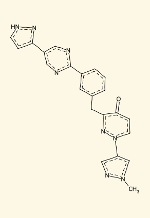 Cn1cc(-n2ccc(=O)c(Cc3cccc(-c4ncc(-c5cc[nH]n5)cn4)c3)n2)cn1